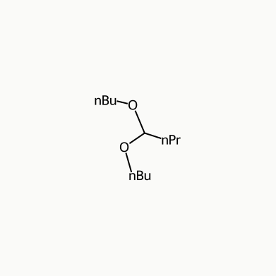 CCCCOC(CCC)OCCCC